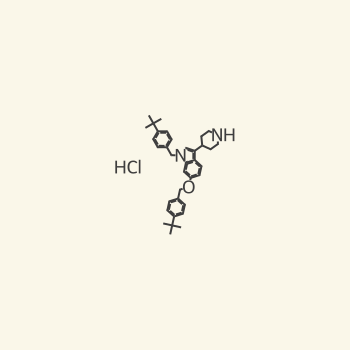 CC(C)(C)c1ccc(COc2ccc3c(C4CCNCC4)cn(Cc4ccc(C(C)(C)C)cc4)c3c2)cc1.Cl